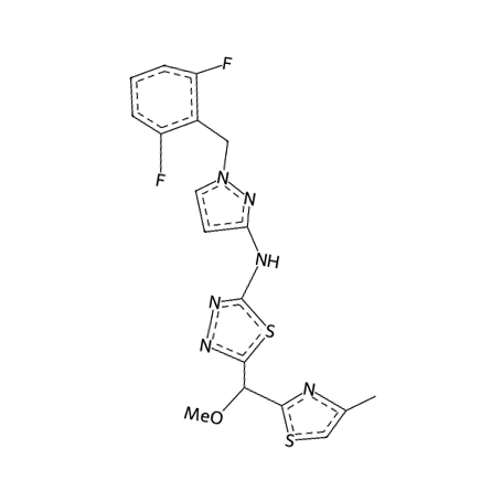 COC(c1nc(C)cs1)c1nnc(Nc2ccn(Cc3c(F)cccc3F)n2)s1